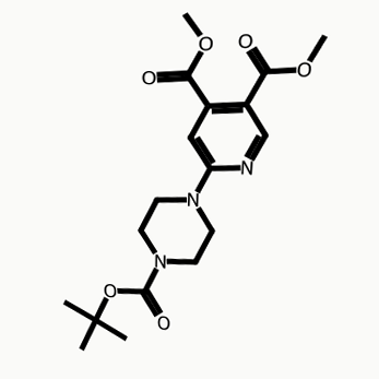 COC(=O)c1cnc(N2CCN(C(=O)OC(C)(C)C)CC2)cc1C(=O)OC